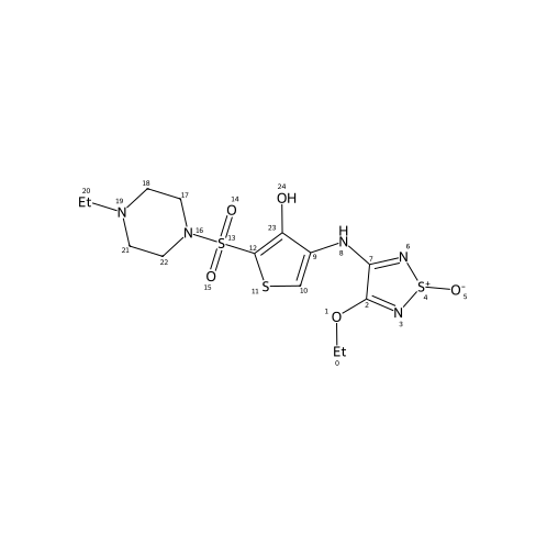 CCOc1n[s+]([O-])nc1Nc1csc(S(=O)(=O)N2CCN(CC)CC2)c1O